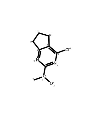 C[S+]([O-])c1nc(Cl)c2c(n1)CCC2